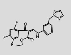 CCOC(=O)C(=CNc1cccc(Cn2nccn2)c1)C(=O)c1cc(F)c(F)cc1F